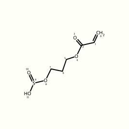 C=CC(=O)OCCCOS(=O)O